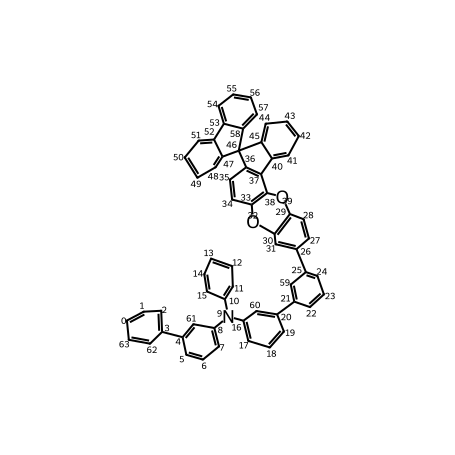 c1ccc(-c2cccc(N(c3ccccc3)c3cccc(-c4cccc(-c5ccc6c(c5)Oc5ccc7c(c5O6)-c5ccccc5C75c6ccccc6-c6ccccc65)c4)c3)c2)cc1